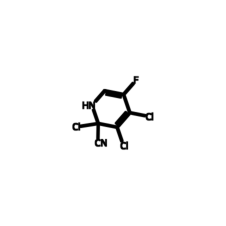 N#CC1(Cl)NC=C(F)C(Cl)=C1Cl